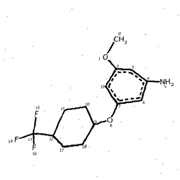 COc1cc(N)cc(OC2CCC(C(F)(F)F)CC2)c1